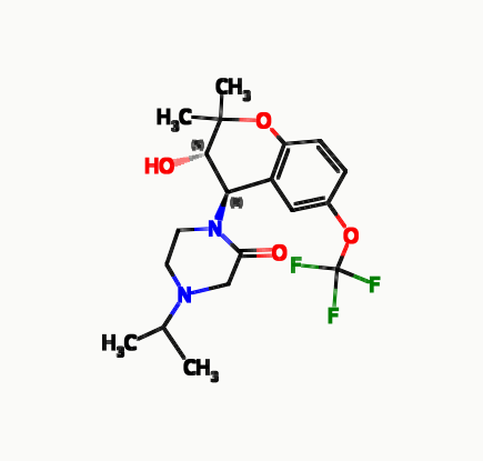 CC(C)N1CCN([C@@H]2c3cc(OC(F)(F)F)ccc3OC(C)(C)[C@H]2O)C(=O)C1